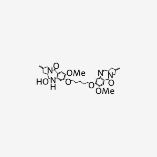 C=C1CC2C=Nc3cc(OCCCCCOc4cc5c(cc4OC)C(=O)N4CC(=C)CC4C(O)N5)c(OC)cc3C(=O)N2C1